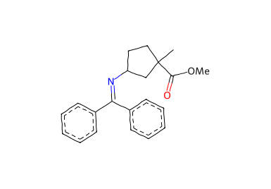 COC(=O)C1(C)CCC(N=C(c2ccccc2)c2ccccc2)C1